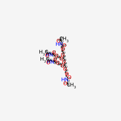 CC(=O)CNC(=O)COCCOCC(COCC(COCCOCC(=O)NCC(C)=O)OCCOCC(=O)NCC(C)=O)OCCOCC(=O)NCC(C)=O